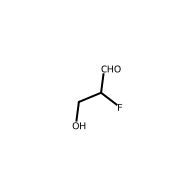 O=CC(F)CO